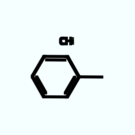 Cc1ccccc1.[CH]